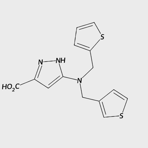 O=C(O)c1cc(N(Cc2ccsc2)Cc2cccs2)[nH]n1